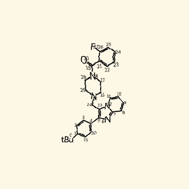 CC(C)(C)c1ccc(-c2nc3ccccn3c2CN2CCN(C(=O)c3ccccc3F)CC2)cc1